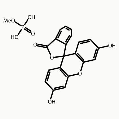 COP(=O)(O)O.O=C1OC2(c3ccc(O)cc3Oc3cc(O)ccc32)c2ccccc21